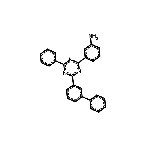 Nc1cccc(-c2nc(-c3ccccc3)nc(-c3cccc(-c4ccccc4)c3)n2)c1